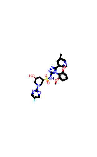 COc1cccc(OC)c1-n1c(NS(=O)(=O)[C@@H]2C[C@H](O)CN(c3ncc(F)cn3)C2)nnc1-c1cncc(C)c1